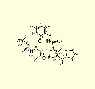 Cc1cc(C)c(CNC(=O)c2cc(OC3CCN(C(=O)OC(C)(C)C)CC3)cc(N(C)C3CCCC3)c2C)c(=O)[nH]1